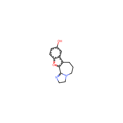 Oc1ccc2oc3c(c2c1)CCCN1CCN=C31